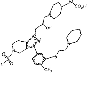 CS(=O)(=O)N1CCc2c(c(-c3ccc(C(F)(F)F)c(SCCN4CCCCC4)c3)nn2CC(O)CN2CCC(NC(=O)O)CC2)C1